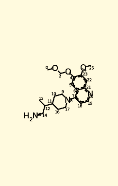 COCOc1cc2c(N3CCC(C(C)CN)CC3)ccnc2cc1OC